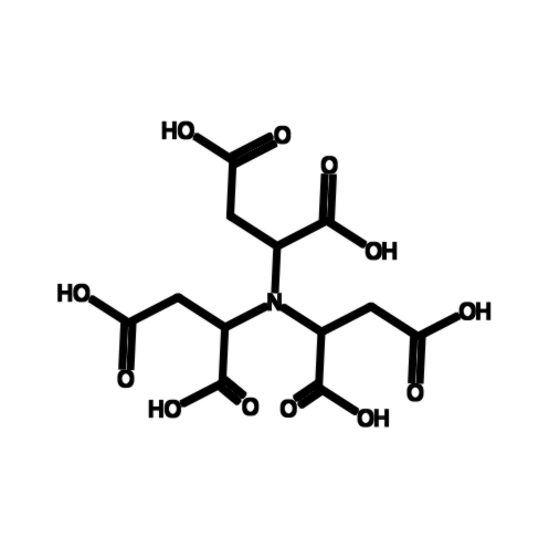 O=C(O)CC(C(=O)O)N(C(CC(=O)O)C(=O)O)C(CC(=O)O)C(=O)O